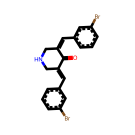 O=C1C(=Cc2cccc(Br)c2)CNCC1=Cc1cccc(Br)c1